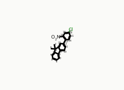 CC1(C)c2ccccc2-c2ccc(-c3ccc(Cl)cc3[N+](=O)[O-])cc21